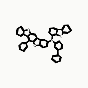 c1ccc(-c2cccc(N(c3ccc4oc5c(-c6ccccc6)c6c(cc5c4c3)oc3ccccc36)c3cccc4c3oc3ccccc34)c2)cc1